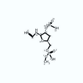 COP(=O)(S)OC[C@@H]1C[C@@H](O[PH](=O)S)[C@H](NC=N)O1